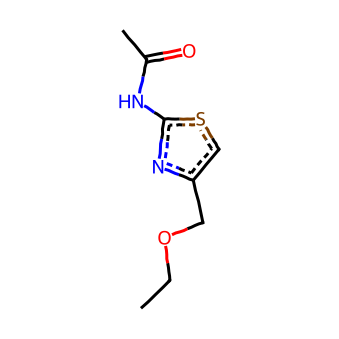 CCOCc1csc(NC(C)=O)n1